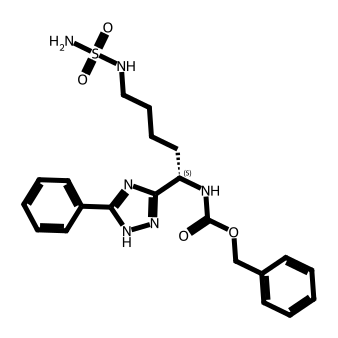 NS(=O)(=O)NCCCC[C@H](NC(=O)OCc1ccccc1)c1n[nH]c(-c2ccccc2)n1